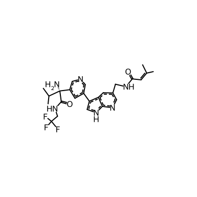 CC(C)=CC(=O)NCc1cnc2[nH]cc(-c3cncc([C@@](N)(C(=O)NCC(F)(F)F)C(C)C)c3)c2c1